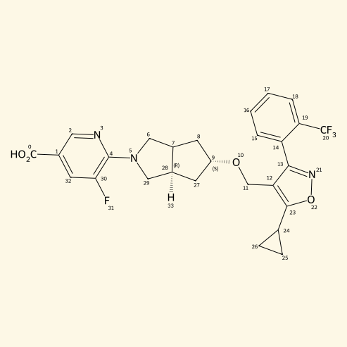 O=C(O)c1cnc(N2CC3C[C@H](OCc4c(-c5ccccc5C(F)(F)F)noc4C4CC4)C[C@H]3C2)c(F)c1